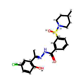 C/C(=N\NC(=O)c1cccc([S+]([O-])N2CCC(C)CC2)c1)c1cc(Cl)ccc1O